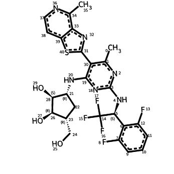 Cc1nc(N[C@@H](c2c(F)cccc2F)C(F)(F)F)nc(N[C@@H]2C[C@H](CO)[C@@H](O)[C@H]2O)c1-c1nc2c(C)nccc2s1